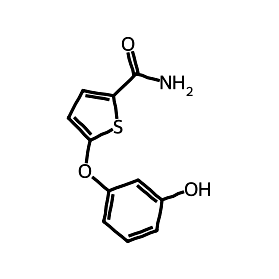 NC(=O)c1ccc(Oc2cccc(O)c2)s1